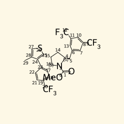 COC(=O)N1[C@H](Cc2cc(C(F)(F)F)cc(C(F)(F)F)c2)CC[C@H]1c1cc(C(F)(F)F)ccc1-c1cscc1C